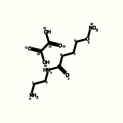 NCCNC(=O)CCCO[N+](=O)[O-].O=C(O)C(=O)O